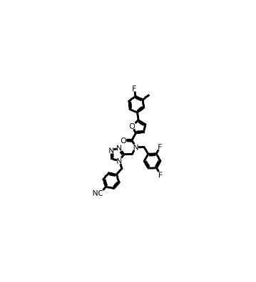 Cc1cc(-c2ccc(C(=O)N(Cc3ccc(F)cc3F)Cc3nncn3Cc3ccc(C#N)cc3)o2)ccc1F